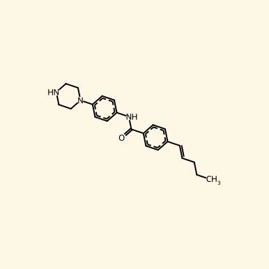 CCC/C=C/c1ccc(C(=O)Nc2ccc(N3CCNCC3)cc2)cc1